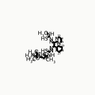 CN/C(S)=N/N=C(/C(=N/N=C(\S)NC(C)(C)CCOC(C)(N)C(C)C)c1ccccc1)c1ncccn1